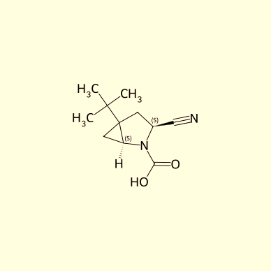 CC(C)(C)C12C[C@@H](C#N)N(C(=O)O)[C@H]1C2